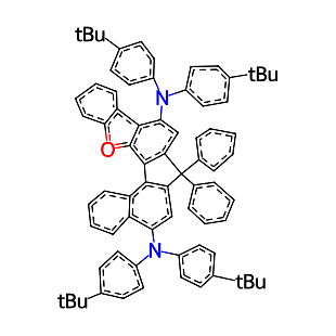 CC(C)(C)c1ccc(N(c2ccc(C(C)(C)C)cc2)c2cc3c(c4ccccc24)-c2c(cc(N(c4ccc(C(C)(C)C)cc4)c4ccc(C(C)(C)C)cc4)c4c2oc2ccccc24)C3(c2ccccc2)c2ccccc2)cc1